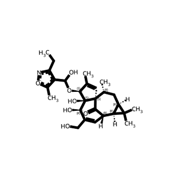 CCc1noc(C)c1C(O)O[C@H]1C(C)=C[C@]23C(=O)[C@@H](C=C(CO)[C@@H](O)[C@]12O)[C@H]1[C@@H](C[C@H]3C)C1(C)C